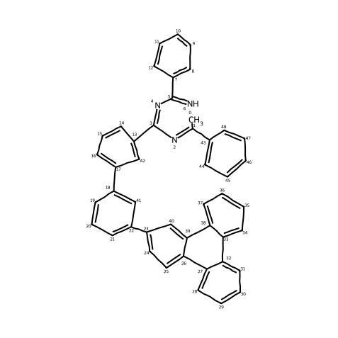 C/C(=N\C(=N/C(=N)c1ccccc1)c1cccc(-c2cccc(-c3ccc4c5ccccc5c5ccccc5c4c3)c2)c1)c1ccccc1